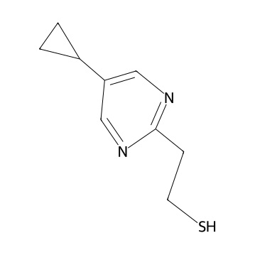 SCCc1ncc(C2CC2)cn1